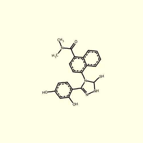 CN(C)C(=O)c1ccc(N2C(c3ccc(O)cc3O)=NNC2S)c2ccccc12